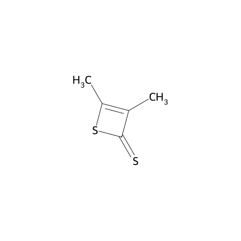 CC1=C(C)C(=S)S1